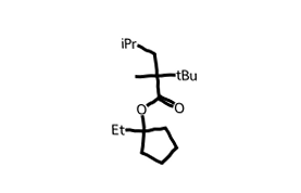 CCC1(OC(=O)C(C)(CC(C)C)C(C)(C)C)CCCC1